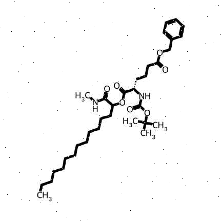 CCCCCCCCCCCCCC(OC(=O)[C@H](CCCC(=O)OCc1ccccc1)NC(=O)OC(C)(C)C)C(=O)NC